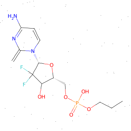 C=C1N=C(N)C=CN1[C@@H]1O[C@H](COP(=O)(O)OCCC)C(O)C1(F)F